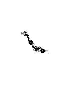 O=C(Nc1ccc(C(F)(F)F)cc1[N+](=O)[O-])c1coc(COc2ccc(CCCCc3c[nH]nn3)cc2)n1